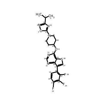 CC(C)c1noc(N2CCC(Oc3ncnc4c(-c5ccc(F)c(F)c5F)csc34)CC2)n1